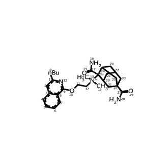 CCCCc1cc2ccccc2c(OCC[N+](C)(C)C2(C(N)=O)C3CC4CC2CC(C(N)=O)(C4)C3)n1